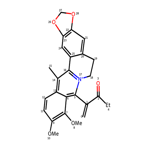 C=C(C(=O)CC)c1c2c(OC)c(OC)ccc2c(C)c2[n+]1CCc1cc3c(cc1-2)OCO3